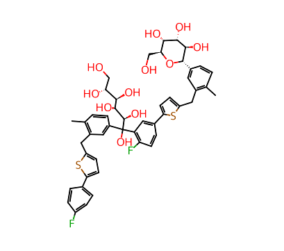 Cc1ccc([C@@H]2O[C@@H](CO)[C@H](O)[C@H](O)[C@H]2O)cc1Cc1ccc(-c2ccc(F)c(C(O)(c3ccc(C)c(Cc4ccc(-c5ccc(F)cc5)s4)c3)[C@H](O)[C@@H](O)[C@H](O)[C@H](O)CO)c2)s1